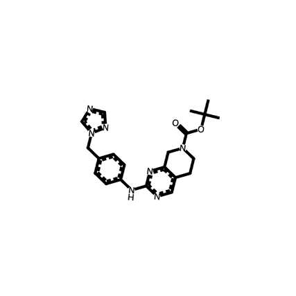 CC(C)(C)OC(=O)N1CCc2cnc(Nc3ccc(Cn4cncn4)cc3)nc2C1